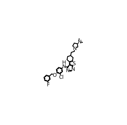 CN(C)[C@@H]1CCN(CCC2CCc3c(sc4ncnc(Nc5ccc(OCc6cccc(F)c6)c(Cl)c5)c34)C2)C1